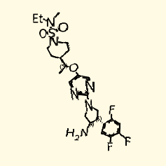 CCN(C)S(=O)(=O)N1CCC([C@H](C)Oc2cnc(N3C[C@H](c4cc(F)c(F)cc4F)[C@@H](N)C3)nc2)CC1